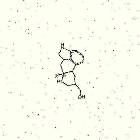 OCC1CN[C@@H]2CC3CNc4cccc(c43)C2C1